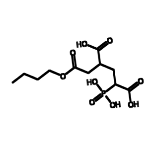 CCCCOC(=O)CC(CC(C(=O)O)P(=O)(O)O)C(=O)O